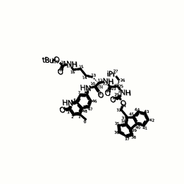 Cc1cc(=O)[nH]c2cc(NC(=O)[C@H](CCCCNC(=O)OC(C)(C)C)NC(=O)[C@H](CC(C)C)NC(=O)OCC3c4ccccc4-c4ccccc43)ccc12